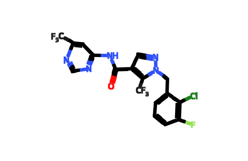 O=C(Nc1cc(C(F)(F)F)ncn1)c1cnn(Cc2cccc(F)c2Cl)c1C(F)(F)F